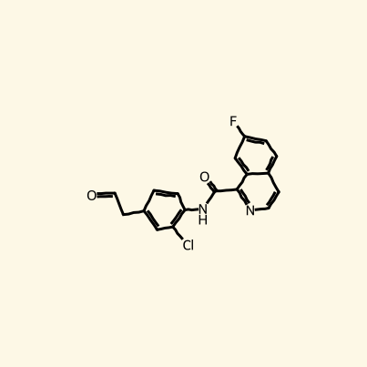 O=CCc1ccc(NC(=O)c2nccc3ccc(F)cc23)c(Cl)c1